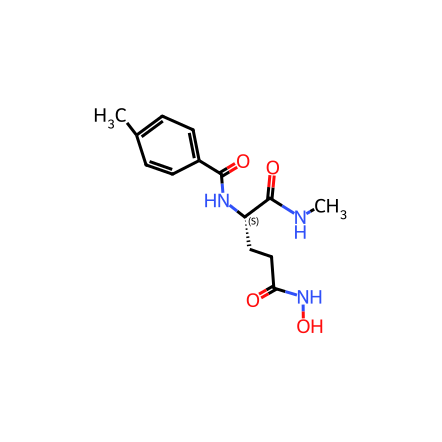 CNC(=O)[C@H](CCC(=O)NO)NC(=O)c1ccc(C)cc1